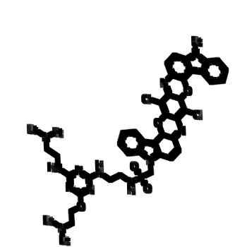 CCN(CC)CCNc1nc(NCCNS(=O)(=O)Cn2c3c(c4ccccc42)C2OC4=C(Cl)C5=Nc6ccc7c(c6OC5C(Cl)=C4N=C2C=C3)c2ccccc2n7CC)nc(OCCN(CC)CC)n1